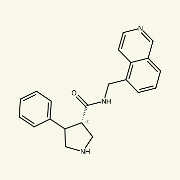 O=C(NCc1cccc2cnccc12)[C@@H]1CNCC1c1ccccc1